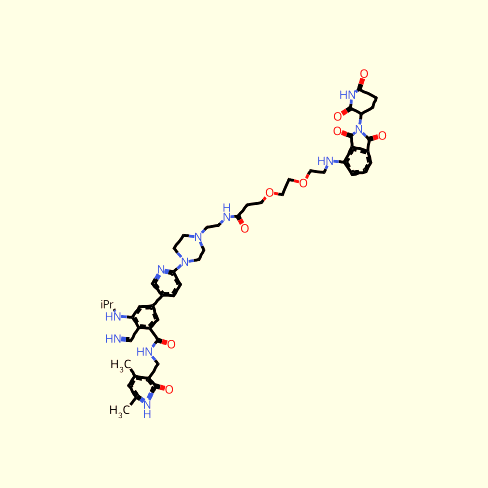 Cc1cc(C)c(CNC(=O)c2cc(-c3ccc(N4CCN(CCNC(=O)CCOCCOCCNc5cccc6c5C(=O)N(C5CCC(=O)NC5=O)C6=O)CC4)nc3)cc(NC(C)C)c2C=N)c(=O)[nH]1